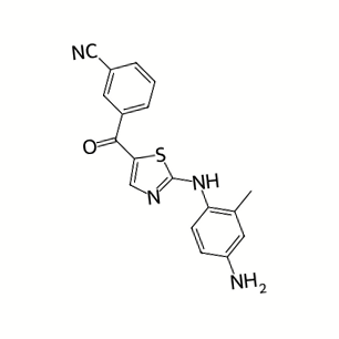 Cc1cc(N)ccc1Nc1ncc(C(=O)c2cccc(C#N)c2)s1